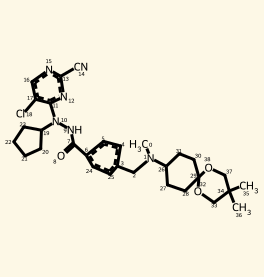 CN(Cc1ccc(C(=O)NN(c2nc(C#N)ncc2Cl)C2CCCC2)cc1)C1CCC2(CC1)OCC(C)(C)CO2